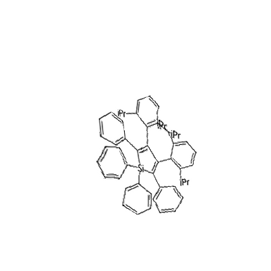 CC(C)c1cccc(C(C)C)c1C1=C(c2ccccc2)[Si](c2ccccc2)(c2ccccc2)C(c2ccccc2)=C1c1c(C(C)C)cccc1C(C)C